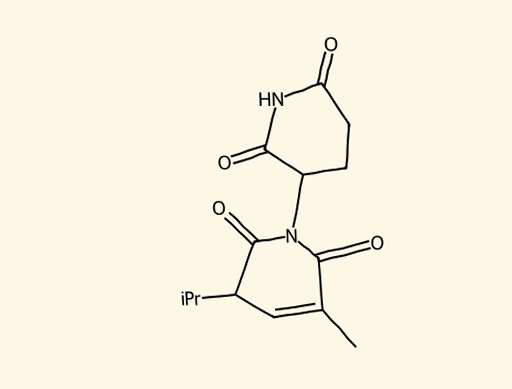 CC1=CC(C(C)C)C(=O)N(C2CCC(=O)NC2=O)C1=O